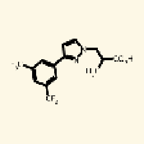 CC(Cn1ccc(-c2cc(C(F)(F)F)cc(C(F)(F)F)c2)n1)C(=O)O